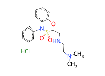 CN(C)CCNCC1Oc2ccccc2N(c2ccccc2)S1(=O)=O.Cl